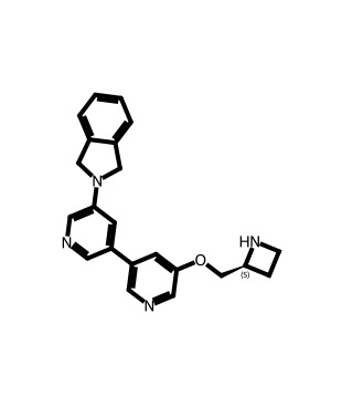 c1ccc2c(c1)CN(c1cncc(-c3cncc(OC[C@@H]4CCN4)c3)c1)C2